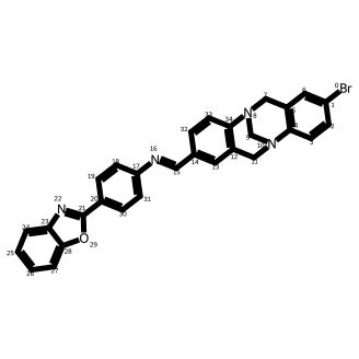 Brc1ccc2c(c1)CN1CN2Cc2cc(/C=N/c3ccc(-c4nc5ccccc5o4)cc3)ccc21